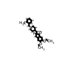 CCOc1cc2c(cc1OCC)C(=O)C(F)(CC1CCN(Cc3ccccc3C)CC1)C2